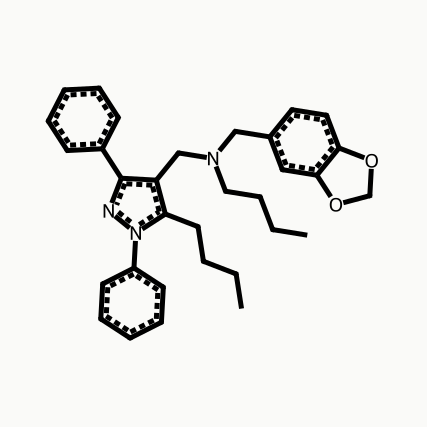 CCCCc1c(CN(CCCC)Cc2ccc3c(c2)OCO3)c(-c2ccccc2)nn1-c1ccccc1